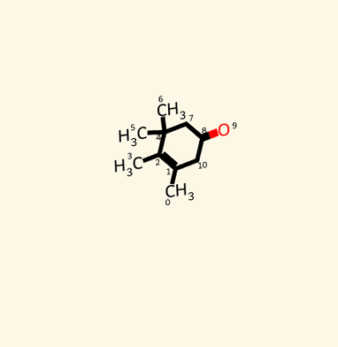 CC1=C(C)C(C)(C)CC(=O)C1